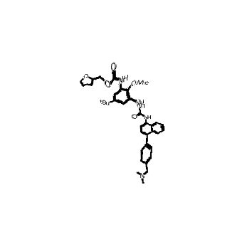 COc1c(NC(=O)Nc2ccc(-c3ccc(CN(C)C)cc3)c3ccccc23)cc(C(C)(C)C)cc1NC(=O)OCC1CCCO1